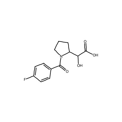 O=C(O)C(O)C1CCCN1C(=O)c1ccc(F)cc1